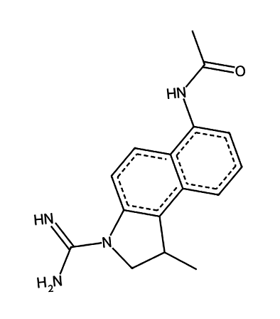 CC(=O)Nc1cccc2c3c(ccc12)N(C(=N)N)CC3C